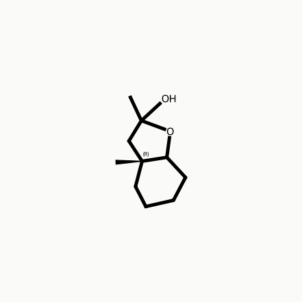 CC1(O)C[C@@]2(C)CCCCC2O1